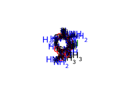 C=C(N)C1CCCNC(=O)CC[C@H](NC(=O)[C@H](CCCNC(=N)N)NC(C)=O)C(=O)N[C@@H](CCNC(C)=O)C(=O)N[C@H](Cc2ccccc2Cl)C(=O)N[C@@H](CCCNC(=N)N)C(=O)N[C@@H](Cc2c[nH]c3ccccc23)C(=O)N1